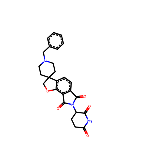 O=C1CCC(N2C(=O)c3ccc4c(c3C2=O)OCC42CCN(Cc3ccccc3)CC2)C(=O)N1